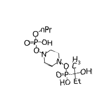 CCCOP(=O)(O)ON1CCN(OP(=O)(O)C(C)(O)CC)CC1